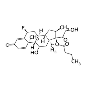 CCCC(=O)O[C@]1(C(=O)CO)[C@H](C)C[C@H]2[C@@H]3C[C@H](F)C4=CC(=O)C=C[C@]4(C)[C@H]3C(O)C[C@@]21C